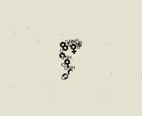 COc1cc(Nc2cc(Oc3ccc(N(C(N)=O)c4cc(C(C)(C)C)cc(NS(C)(=O)=O)c4OC)c4ccccc34)ccn2)ccc1C(=O)N[C@@H](C)CCN1CCOCC1